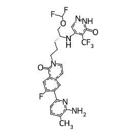 Cc1ccc(-c2cc3ccn(CCC[C@H](COC(F)F)Nc4cn[nH]c(=O)c4C(F)(F)F)c(=O)c3cc2F)nc1N